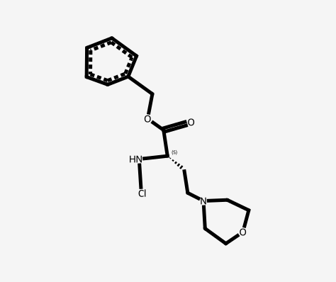 O=C(OCc1ccccc1)[C@H](CCN1CCOCC1)NCl